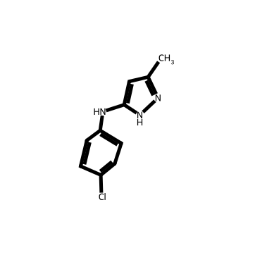 Cc1cc(Nc2ccc(Cl)cc2)[nH]n1